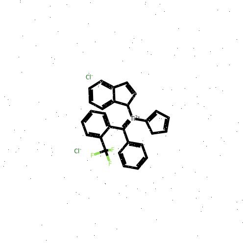 FC(F)(F)c1ccccc1[C](c1ccccc1)=[Ti+2]([C]1=CC=CC1)[CH]1C=Cc2ccccc21.[Cl-].[Cl-]